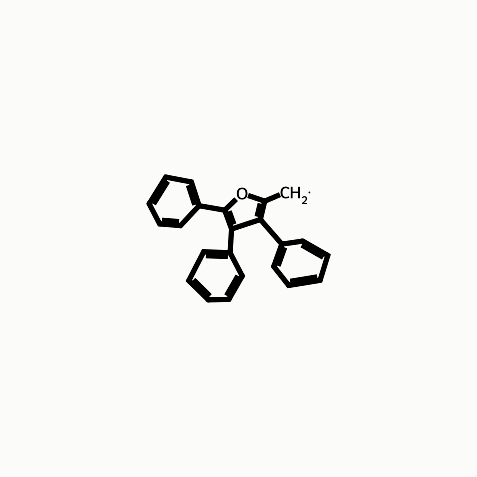 [CH2]c1oc(-c2ccccc2)c(-c2ccccc2)c1-c1ccccc1